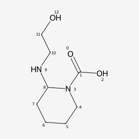 O=C(O)N1CCCCC1NCCO